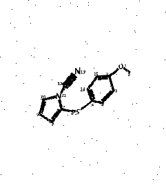 COc1ccc(Sc2cc[c]n2C#N)cc1